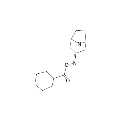 CN1C2CCC1CC(=NOC(=O)C1CCCCC1)C2